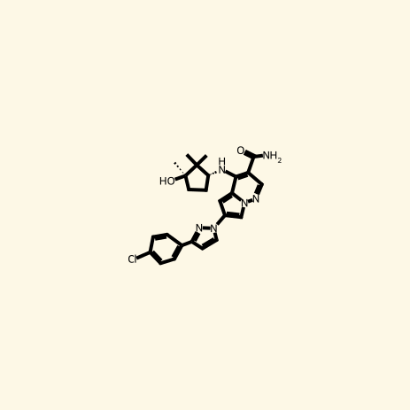 CC1(C)[C@H](Nc2c(C(N)=O)cnn3cc(-n4ccc(-c5ccc(Cl)cc5)n4)cc23)CC[C@@]1(C)O